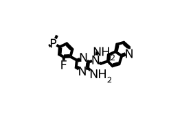 CP(C)c1ccc(-c2cnc(N)c(N(N)Cc3ccc4ncccc4c3)n2)c(F)c1